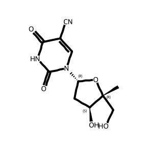 C[C@]1(CO)O[C@@H](n2cc(C#N)c(=O)[nH]c2=O)C[C@@H]1O